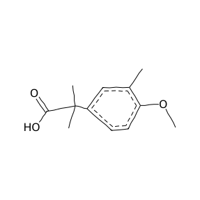 COc1ccc(C(C)(C)C(=O)O)cc1C